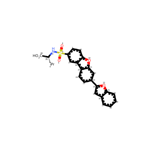 CC(C)[C@@H](NS(=O)(=O)c1ccc2oc3cc(-c4cc5ccccc5o4)ccc3c2c1)C(=O)O